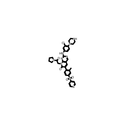 Cc1cc(S(=O)(=O)c2ccncc2)ccc1-c1cc2cnc(Nc3ccc(N4CCNCC4)c(Cl)c3)nc2n(CC(=O)N2CCCC2)c1=O